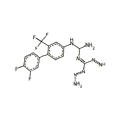 N=N/C(N=NN)=N\C(N)Nc1ccc(-c2ccc(F)c(F)c2)c(C(F)(F)F)c1